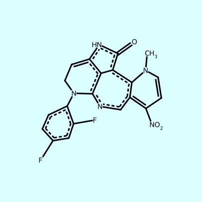 CN1C=CC([N+](=O)[O-])=c2cnc3c4c([nH]c(=O)c-4c21)=CCN3c1ccc(F)cc1F